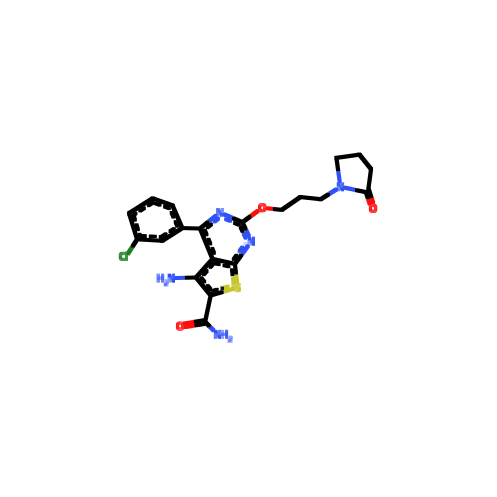 NC(=O)c1sc2nc(OCCCN3CCCC3=O)nc(-c3cccc(Cl)c3)c2c1N